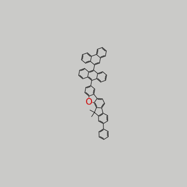 CC1(C)c2cc(-c3ccccc3)ccc2-c2ccc3c(oc4ccc(-c5c6ccccc6c(-c6cc7ccccc7c7ccccc67)c6ccccc56)cc43)c21